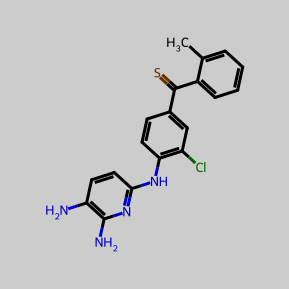 Cc1ccccc1C(=S)c1ccc(Nc2ccc(N)c(N)n2)c(Cl)c1